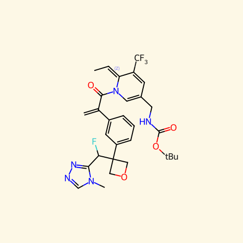 C=C(C(=O)N1C=C(CNC(=O)OC(C)(C)C)C=C(C(F)(F)F)/C1=C/C)c1cccc(C2(C(F)c3nncn3C)COC2)c1